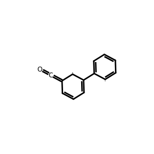 O=C=C1[CH]C(c2[c]cccc2)=CC=C1